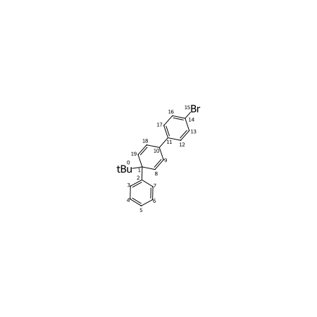 CC(C)(C)C1(c2ccccc2)C=CC(c2ccc(Br)cc2)C=C1